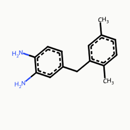 Cc1ccc(C)c(Cc2ccc(N)c(N)c2)c1